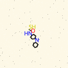 CN(c1ccccc1)c1ccc(NC(=O)CS)cc1